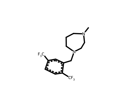 CN1CCCN(Cc2cc(C(F)(F)F)ccc2C(F)(F)F)CC1